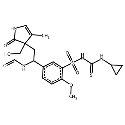 CCC1(CC(NC=O)c2ccc(OC)c(S(=O)(=O)NC(=S)NC3CC3)c2)C(=O)NC=C1C